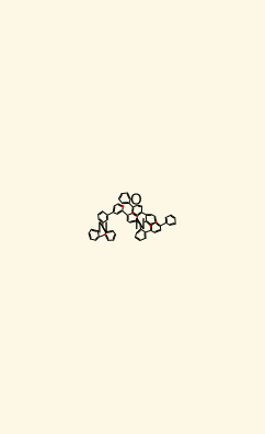 c1ccc(-c2ccc(-c3ccccc3N(c3ccc(-c4cccc(-c5cccc(-n6c7ccccc7c7ccccc76)c5)c4)cc3)c3ccccc3-c3ccc4c(c3)oc3ccccc34)cc2)cc1